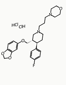 Cl.Cl.Fc1ccc([C@@H]2CCN(CCCN3CCOCC3)C[C@H]2COc2ccc3c(c2)OCO3)cc1